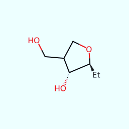 CC[C@@H]1OCC(CO)[C@H]1O